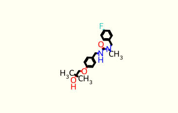 CN(Cc1ccc(F)cc1)C(=O)NCc1ccc(OCC(C)(C)O)cc1